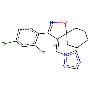 Fc1cc(Cl)ccc1C1=NOC2(CCCCC2)/C1=C\n1cncn1